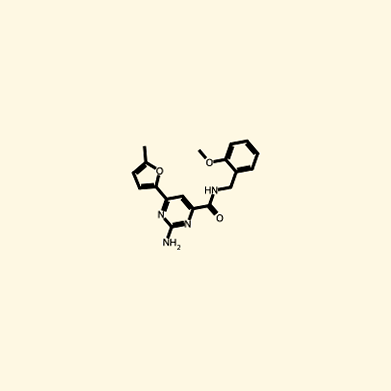 COc1ccccc1CNC(=O)c1cc(-c2ccc(C)o2)nc(N)n1